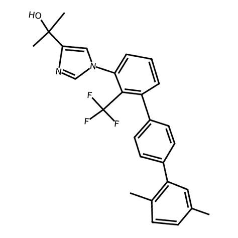 Cc1ccc(C)c(-c2ccc(-c3cccc(-n4cnc(C(C)(C)O)c4)c3C(F)(F)F)cc2)c1